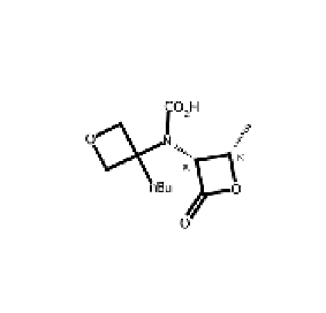 CCCCC1(N(C(=O)O)[C@H]2C(=O)O[C@H]2C)COC1